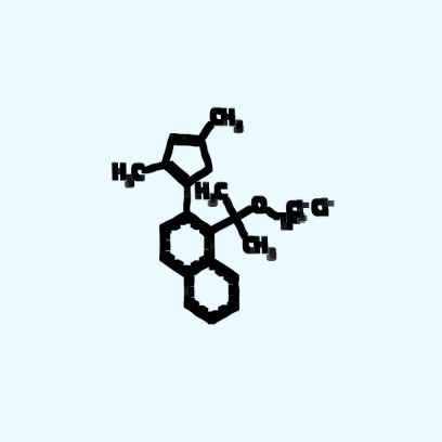 CC1=CC(C)=C(c2ccc3ccccc3c2C(C)(C)[O][Ti+2])C1.[Cl-].[Cl-]